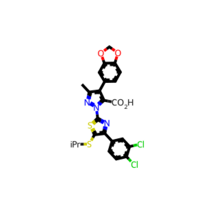 Cc1nn(-c2nc(-c3ccc(Cl)c(Cl)c3)c(SC(C)C)s2)c(C(=O)O)c1-c1ccc2c(c1)OCO2